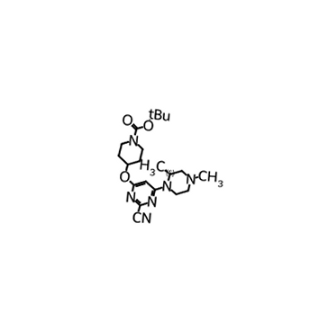 C[C@H]1CN(C)CCN1c1cc(OC2CCN(C(=O)OC(C)(C)C)CC2)nc(C#N)n1